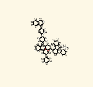 CC1(c2ccccc2)c2ccccc2-c2c(-c3ccc(N(c4ccc(-c5ccc(-c6cccc7ccccc67)cc5)cc4)c4ccccc4-c4cccc(-c5ccccc5)c4)cc3)cccc21